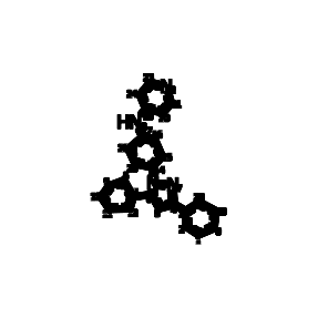 c1ccc(-c2cc(-c3ccccc3)n(-c3ccc(Nc4ccncc4)cc3)n2)cc1